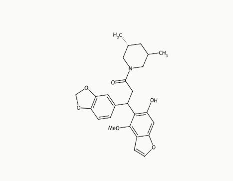 COc1c(C(CC(=O)N2CC(C)C[C@@H](C)C2)c2ccc3c(c2)OCO3)c(O)cc2occc12